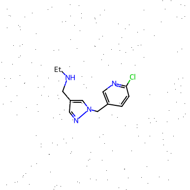 CCNCc1cnn(Cc2ccc(Cl)nc2)c1